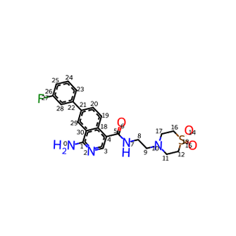 Nc1ncc(C(=O)NCCN2CCS(=O)(=O)CC2)c2ccc(-c3cccc(F)c3)cc12